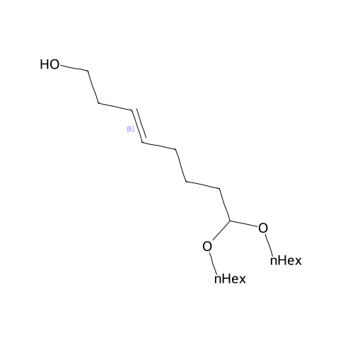 CCCCCCOC(CCC/C=C/CCO)OCCCCCC